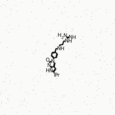 CC(C)c1cc2cn(-c3ccc(CNCCCNC(=N)N)cc3)c(=O)nc2[nH]1